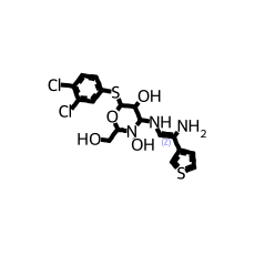 N/C(=C\NC1C(O)C(Sc2ccc(Cl)c(Cl)c2)OC(CO)N1O)c1ccsc1